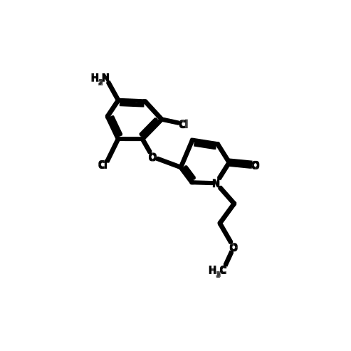 COCCn1cc(Oc2c(Cl)cc(N)cc2Cl)ccc1=O